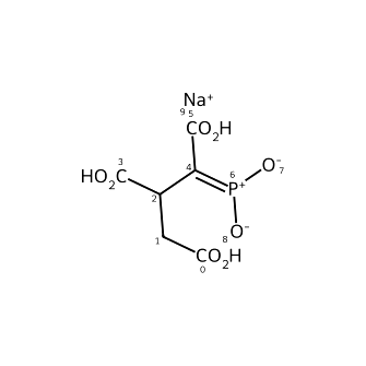 O=C(O)CC(C(=O)O)C(C(=O)O)=[P+]([O-])[O-].[Na+]